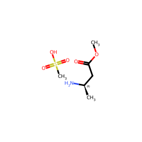 COC(=O)C[C@@H](C)N.CS(=O)(=O)O